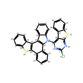 Clc1nc(-n2c3ccccc3c3c4c5ccccc5sc4c4ccccc4c32)c2c(n1)sc1ccccc12